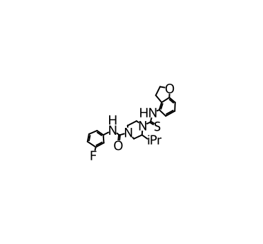 CC(C)C1CN(C(=O)Nc2cccc(F)c2)CCN1C(=S)Nc1cccc2c1CCO2